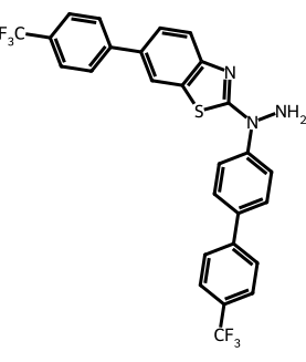 NN(c1ccc(-c2ccc(C(F)(F)F)cc2)cc1)c1nc2ccc(-c3ccc(C(F)(F)F)cc3)cc2s1